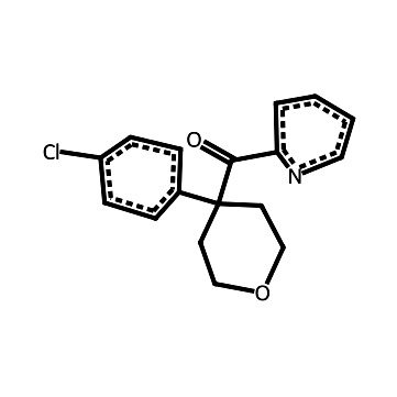 O=C(c1ccccn1)C1(c2ccc(Cl)cc2)CCOCC1